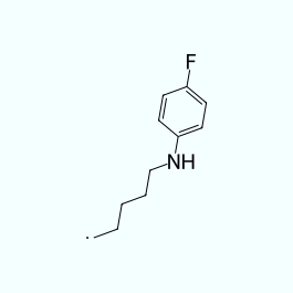 [CH2]CCCCNc1ccc(F)cc1